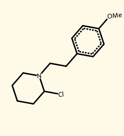 COc1ccc(CCN2CCCCC2Cl)cc1